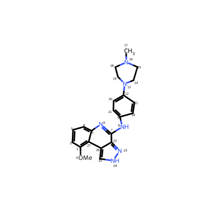 COc1cccc2nc(Nc3ccc(N4CCN(C)CC4)cc3)c3n[nH]cc3c12